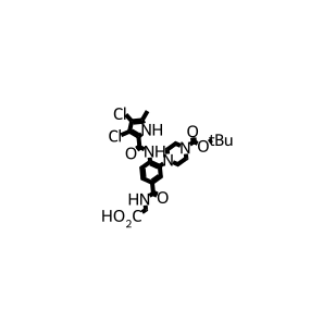 Cc1[nH]c(C(=O)Nc2ccc(C(=O)NCC(=O)O)cc2N2CCN(C(=O)OC(C)(C)C)CC2)c(Cl)c1Cl